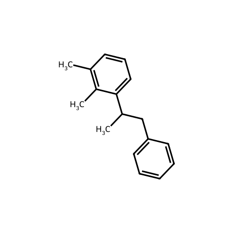 Cc1cccc(C(C)Cc2ccccc2)c1C